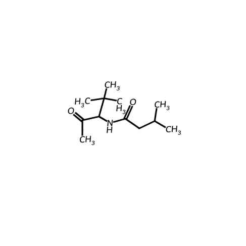 CC(=O)C(NC(=O)CC(C)C)C(C)(C)C